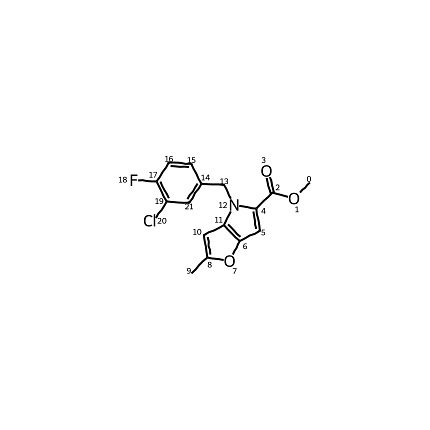 COC(=O)c1cc2oc(C)cc2n1Cc1ccc(F)c(Cl)c1